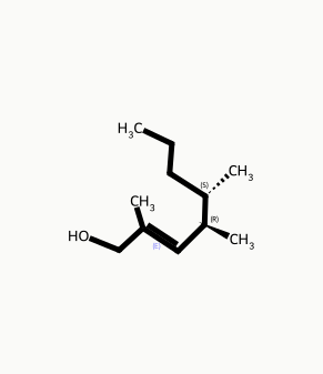 CCC[C@H](C)[C@@H](C)/C=C(\C)CO